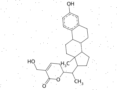 CC(C1CC=C(CO)C(=O)O1)C1CCC2C3CCc4cc(O)ccc4C3CCC12C